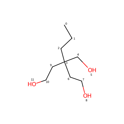 CCCC(CO)(CCO)CCO